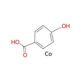 O=C(O)c1ccc(O)cc1.[Co]